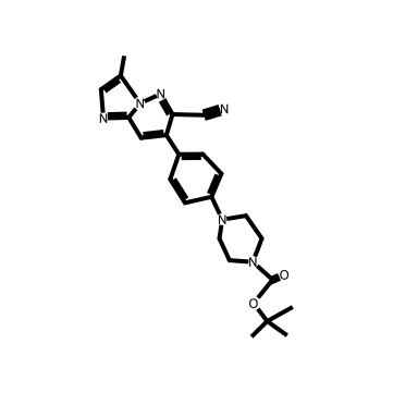 Cc1cnc2cc(-c3ccc(N4CCN(C(=O)OC(C)(C)C)CC4)cc3)c(C#N)nn12